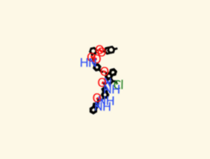 CC1CC2CC(C1)CC(OO[C@@H]1CCCC(OC(=O)Nc3ccc(COc4cc5c(c6ccccc46)C(CCl)CN5C(=O)c4cc5cc(NC(=O)c6cc7ccccc7[nH]6)ccc5[nH]4)cc3)C1)C2